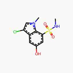 CNS(=O)(=O)c1cc(O)cc2c(Cl)cn(C)c12